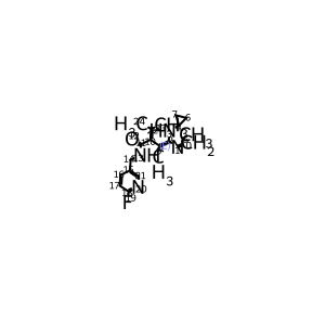 C=N/C(NC1(C)CC1)=C(\C)C(C(=O)NCc1ccc(F)nc1)=C(C)C